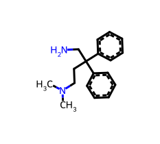 CN(C)CCC(CN)(c1ccccc1)c1ccccc1